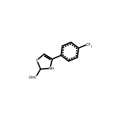 O=CC1NC(c2ccc(C(F)(F)F)cc2)=CS1